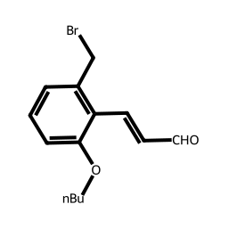 CCCCOc1cccc(CBr)c1/C=C/C=O